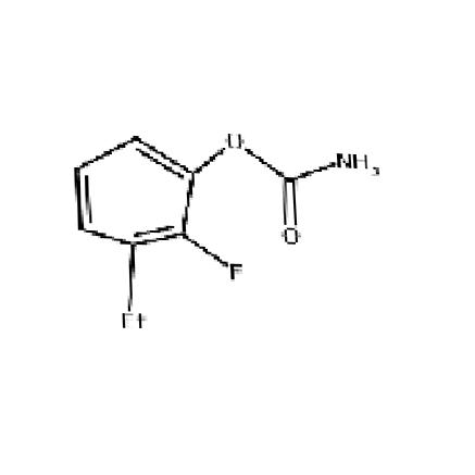 CCc1cccc(OC(N)=O)c1F